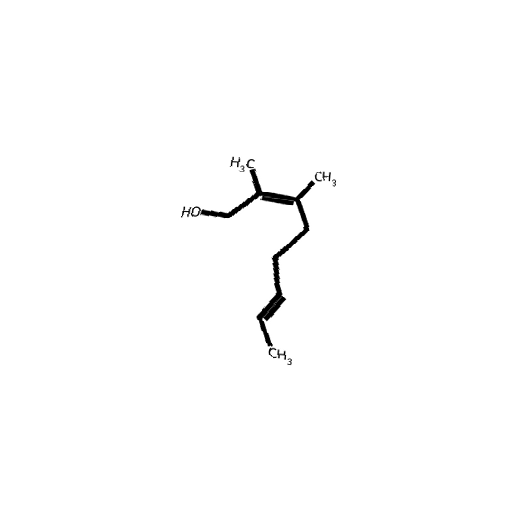 CC=CCCC(C)=C(C)CO